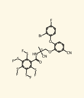 C[C@](C#N)(COc1cc(C#N)ccc1Oc1ccc(F)cc1Br)NC(=O)c1c(SF)c(SF)c(SF)c(SF)c1SF